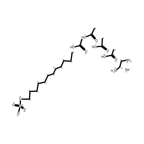 CC(=O)O.CC(=O)O.CC(=O)O.CC(=O)O.CCCCCCCCCCCCOS(=O)(=O)[O-].NCCN.[Na+]